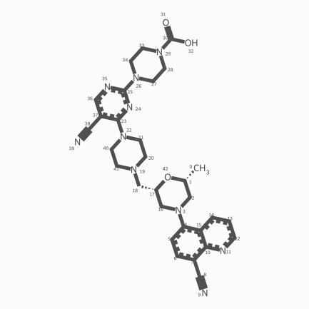 C[C@@H]1CN(c2ccc(C#N)c3ncccc23)C[C@H](CN2CCN(c3nc(N4CCN(C(=O)O)CC4)ncc3C#N)CC2)O1